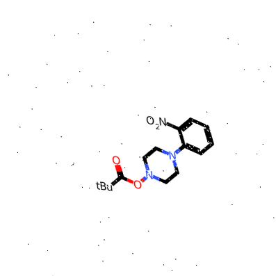 CC(C)(C)C(=O)ON1CCN(c2ccccc2[N+](=O)[O-])CC1